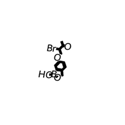 CC(=O)C(Br)COc1ccc2c(c1)B(O)OC2